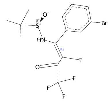 CC(C)(C)[S@@+]([O-])N/C(=C(/F)C(=O)C(F)(F)F)c1cccc(Br)c1